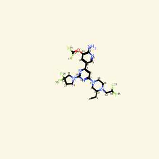 CC[C@H]1CN(c2cc(-c3cnc(N)c(OC(F)F)c3)nc(N3CCC(F)(F)C3)n2)CCN1CC(F)F